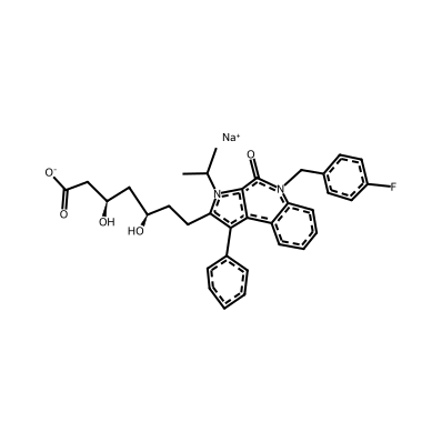 CC(C)n1c(CC[C@@H](O)C[C@@H](O)CC(=O)[O-])c(-c2ccccc2)c2c3ccccc3n(Cc3ccc(F)cc3)c(=O)c21.[Na+]